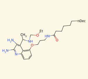 CCCCCCCCCCCCCCCC(=O)NCCCOc1cccc2nc(N)c(N)c(C(C)NCOCC)c12